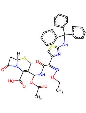 CCON=C(C(=O)NC(OC(C)=O)C1=C(C(=O)O)N2C(=O)C[C@H]2SC1)c1csc(NC(c2ccccc2)(c2ccccc2)c2ccccc2)n1